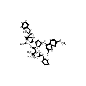 C=C[C@@H]1C[C@]1(NC(=O)[C@@H]1C[C@@H](Oc2cc(Cl)nc3cc(OC)ccc23)CN1C(=O)[C@@H](NC(=O)OC1CCCC1)C(C)(C)C)P(=O)(O)Cc1ccccc1